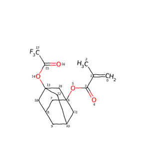 C=C(C)C(=O)OC12CC3CC(C1)CC(OC(=O)C(F)(F)F)(C3)C2